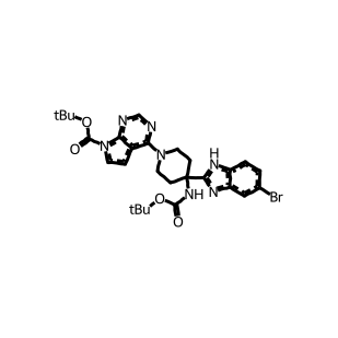 CC(C)(C)OC(=O)NC1(c2nc3cc(Br)ccc3[nH]2)CCN(c2ncnc3c2ccn3C(=O)OC(C)(C)C)CC1